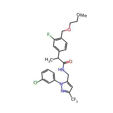 COCCOCc1ccc(C(C)C(=O)NCc2cc(C(F)(F)F)nn2-c2cccc(Cl)c2)cc1F